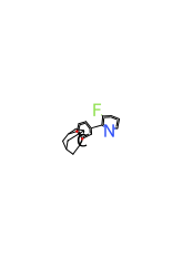 Fc1cccnc1-c1ccc2c(c1)C1CC3CC(CC2C3)C1